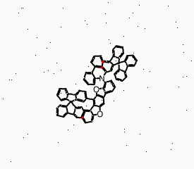 c1ccc(-c2ccccc2N(c2ccc3c(c2)C2(c4ccccc4-c4ccccc42)c2ccccc2-3)c2cccc3c2oc2c(-c4ccc5c(c4)C4(c6ccccc6-c6ccccc64)c4ccccc4-5)c4c(cc23)oc2ccccc24)cc1